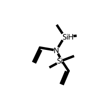 C=CN([SiH](C)C)[Si](C)(C)C=C